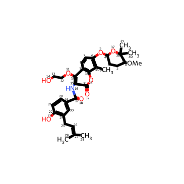 COC1CCC(Oc2ccc3c(OCCO)c(NC(=O)c4ccc(O)c(CC=C(C)C)c4)c(=O)oc3c2C)OC1(C)C